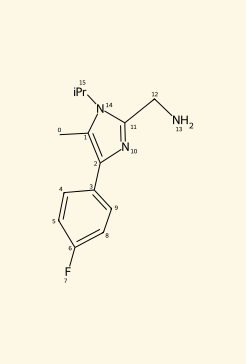 Cc1c(-c2ccc(F)cc2)nc(CN)n1C(C)C